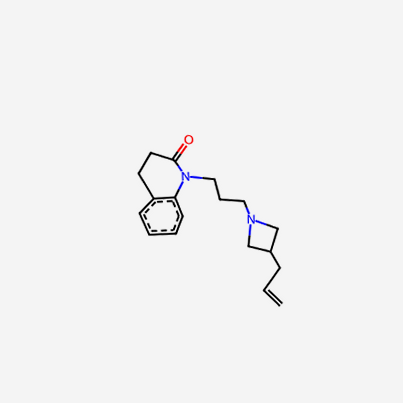 C=CCC1CN(CCCN2C(=O)CCc3ccccc32)C1